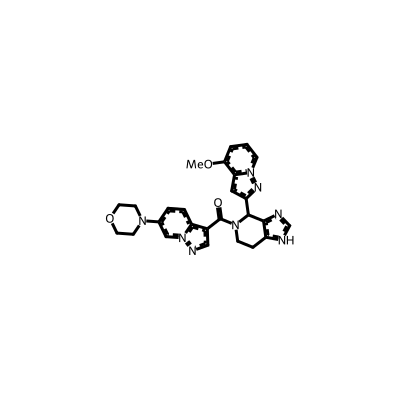 COc1cccn2nc(C3c4nc[nH]c4CCN3C(=O)c3cnn4cc(N5CCOCC5)ccc34)cc12